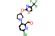 O=Cc1nc(Br)ccc1N1CC[C@H](Oc2nc(C(F)(F)F)cs2)C1